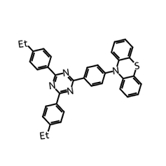 CCc1ccc(-c2nc(-c3ccc(CC)cc3)nc(-c3ccc(N4c5ccccc5Sc5ccccc54)cc3)n2)cc1